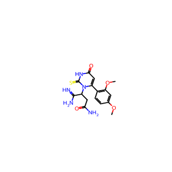 COc1ccc(-c2cc(=O)[nH]c(=S)n2C(CC(N)=O)C(=N)N)c(OC)c1